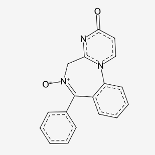 O=c1ccn2c(n1)C[N+]([O-])=C(c1ccccc1)c1ccccc1-2